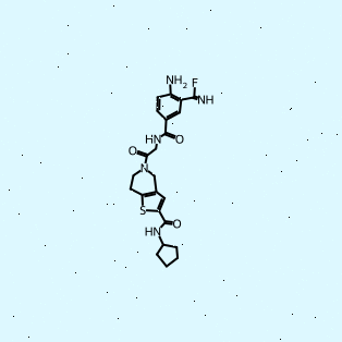 N=C(F)c1cc(C(=O)NCC(=O)N2CCc3sc(C(=O)NC4CCCC4)cc3C2)ccc1N